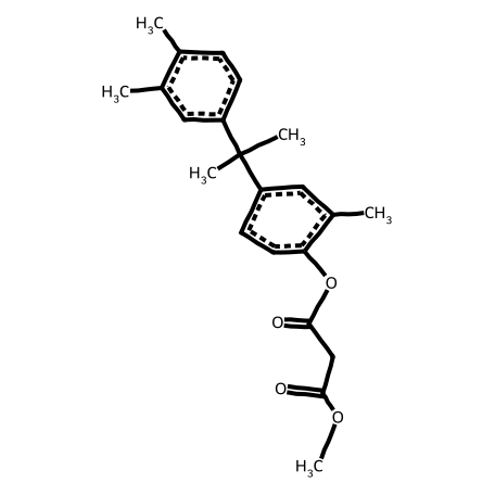 COC(=O)CC(=O)Oc1ccc(C(C)(C)c2ccc(C)c(C)c2)cc1C